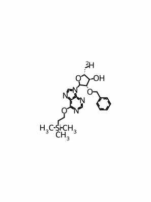 [2H]C[C@H]1OC(n2cnc3c(OCC[Si](C)(C)C)ncnc32)[C@@H](OCc2ccccc2)[C@@H]1O